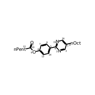 CCCCCCCCc1cnc(-c2ccc(OC(=O)CCCCC)cc2)nc1